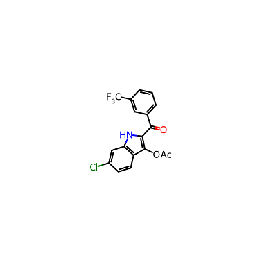 CC(=O)Oc1c(C(=O)c2cccc(C(F)(F)F)c2)[nH]c2cc(Cl)ccc12